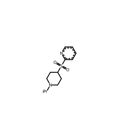 CC(C)N1CCC(S(=O)(=O)c2ccccn2)CC1